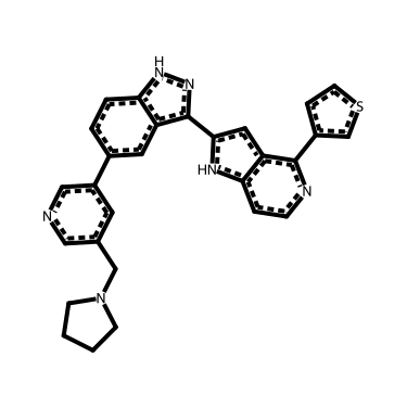 c1cc2[nH]c(-c3n[nH]c4ccc(-c5cncc(CN6CCCC6)c5)cc34)cc2c(-c2ccsc2)n1